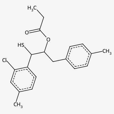 CCC(=O)OC(Cc1ccc(C)cc1)C(S)c1ccc(C)cc1Cl